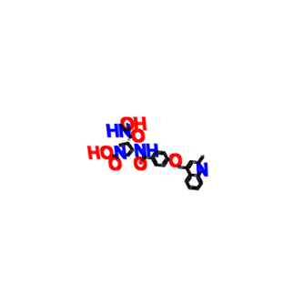 Cc1cc(COc2ccc(C(=O)N[C@@H]3CN(C(=O)O)C[C@@H]3C(=O)NO)cc2)c2ccccc2n1